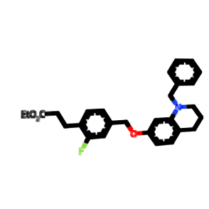 CCOC(=O)CCc1ccc(COc2ccc3c(c2)N(Cc2ccccc2)CCC3)cc1F